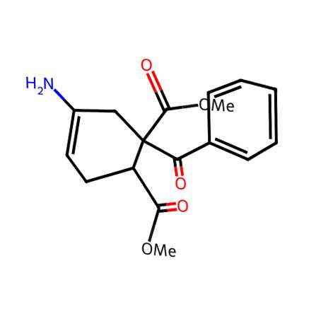 COC(=O)C1CC=C(N)CC1(C(=O)OC)C(=O)c1ccccc1